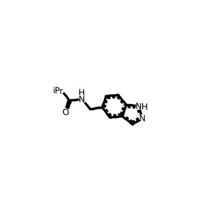 CC(C)C(=O)NCc1ccc2[nH]ncc2c1